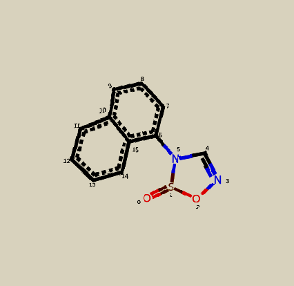 O=S1ON=CN1c1cccc2ccccc12